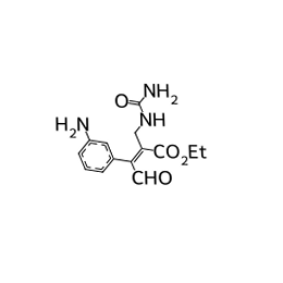 CCOC(=O)C(CNC(N)=O)=C(C=O)c1cccc(N)c1